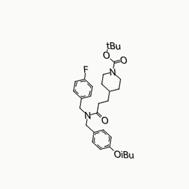 CC(C)COc1ccc(CN(Cc2ccc(F)cc2)C(=O)CCC2CCN(C(=O)OC(C)(C)C)CC2)cc1